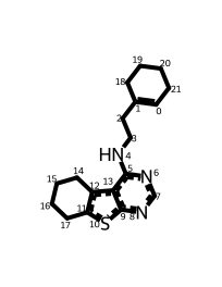 C1=C(CCNc2ncnc3sc4c(c23)CCCC4)CCCC1